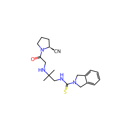 CC(C)(CNC(=S)N1Cc2ccccc2C1)NCC(=O)N1CCC[C@H]1C#N